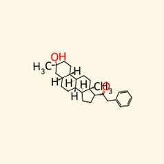 C[C@@]1(O)CC[C@H]2[C@H](CC[C@@H]3[C@@H]2CC[C@]2(C)[C@@H](C(=O)Cc4ccccc4)CC[C@@H]32)C1